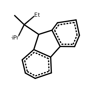 CCC(C)([C](C)C)C1c2ccccc2-c2ccccc21